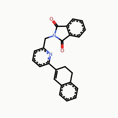 O=C1c2ccccc2C(=O)N1Cc1cccc(C2=Cc3ccccc3CC2)n1